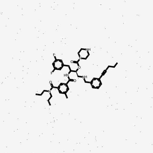 CCCC#Cc1cccc(CNC[C@H](OC(=O)N2CCNCC2)C(Cc2cc(F)cc(F)c2)NC(=O)c2cc(C)cc(C(=O)N(CCC)CCC)c2)c1